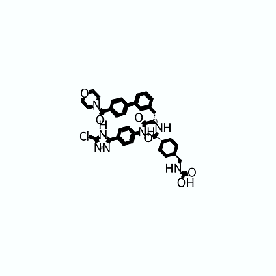 O=C(O)NC[C@H]1CC[C@H](C(=O)N[C@@H](Cc2cccc(-c3ccc(C(=O)N4CCOCC4)cc3)c2)C(=O)Nc2ccc(-c3nnc(Cl)[nH]3)cc2)CC1